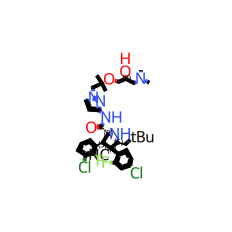 CN(C)C[C@@H](O)COC(C)(C)Cn1ccc(NC(=O)[C@@H]2N[C@@H](CC(C)(C)C)[C@](C#N)(c3ccc(Cl)cc3F)[C@H]2c2cccc(Cl)c2F)n1